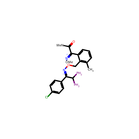 CNC(=O)/C(=N/OC)c1cccc(C)c1CO/N=C(/c1ccc(Cl)cc1)C(P)P